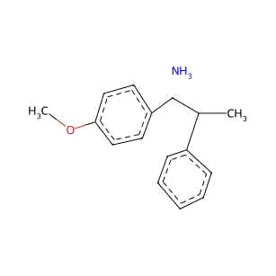 COc1ccc(CC(C)c2ccccc2)cc1.N